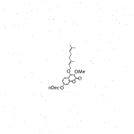 CCCCCCCCCCOc1ccc2c(OC/C=C(\C)CCC=C(C)C)c(OC)c(=O)oc2c1